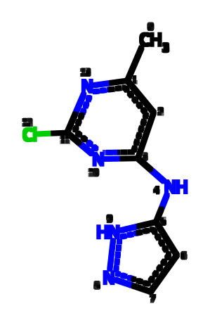 Cc1cc(Nc2ccn[nH]2)nc(Cl)n1